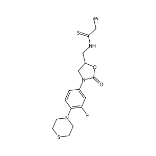 CC(C)CC(=S)NCC1CN(c2ccc(N3CCSCC3)c(F)c2)C(=O)O1